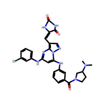 CN(C)C1CCN(C(=O)c2cccc(Nc3cc(Nc4cccc(Cl)c4)nc4c(C=C5NC(=O)NC5=O)cnn34)c2)C1